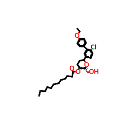 CCCCCCCCCCCC(=O)O[C@@H]1CCC(c2ccc(Cl)c(-c3ccc(OCC)cc3)c2)O[C@@H]1CO